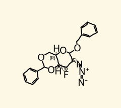 [N-]=[N+]=N[C@H]1C(OCc2ccccc2)O[C@@H]2COC(c3ccccc3)O[C@H]2[C@H]1F